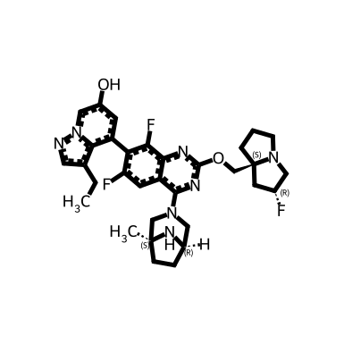 CCc1cnn2cc(O)cc(-c3c(F)cc4c(N5C[C@H]6CC[C@@](C)(C5)N6)nc(OC[C@@]56CCCN5C[C@H](F)C6)nc4c3F)c12